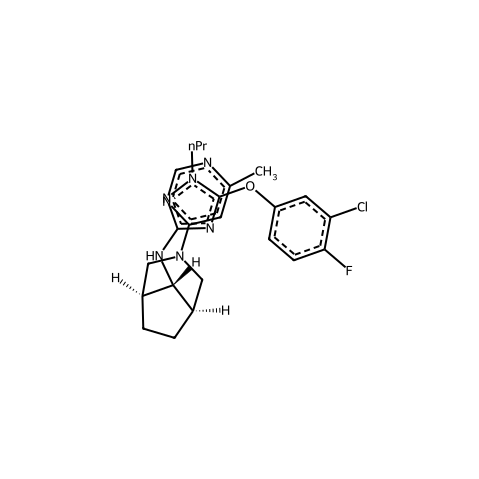 CCCn1nc(N[C@@H]2[C@@H]3CC[C@H]2CN(c2cc(C)ncn2)C3)nc1Oc1ccc(F)c(Cl)c1